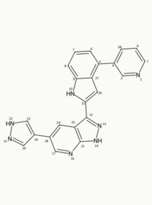 c1cncc(-c2cccc3[nH]c(-c4n[nH]c5ncc(-c6cn[nH]c6)cc45)cc23)c1